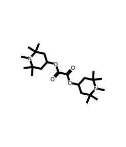 CN1C(C)(C)CC(OC(=O)C(=O)OC2CC(C)(C)N(C)C(C)(C)C2)CC1(C)C